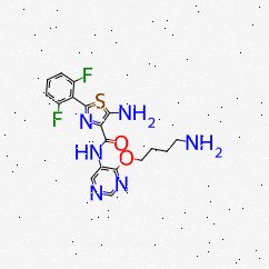 NCCCCOc1ncncc1NC(=O)c1nc(-c2c(F)cccc2F)sc1N